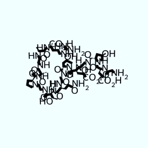 C[C@H](NC(=O)CNC(=O)[C@H](C)NC(=O)[C@@H]1CCCN1C(=O)CNC(=O)[C@@H](NC(=O)[C@H](CCC(N)=O)NC(=O)CNC(=O)[C@@H]1C[C@@H](O)CN1C(=O)[C@H](CCC(=O)O)NC(=O)CNC(=O)[C@@H]1C[C@@H](O)CN1C(=O)[C@H](CCC(=O)O)NC(=O)CN)[C@@H](C)O)C(=O)N[C@@H](CCCNC(=N)N)C(=O)O